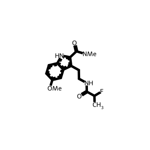 CNC(=O)c1[nH]c2ccc(OC)cc2c1CCNC(=O)C(C)F